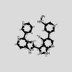 CC(C)Nc1cncc(-c2cnc3[nH]nc(-c4nc5c(-c6cccnc6)nccc5[nH]4)c3c2F)c1